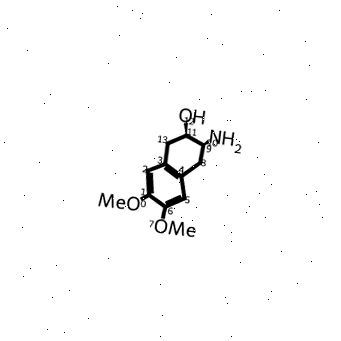 COc1cc2c(cc1OC)C[C@H](N)[C@H](O)C2